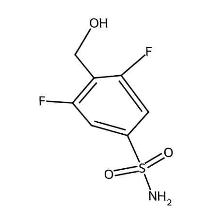 NS(=O)(=O)c1cc(F)c(CO)c(F)c1